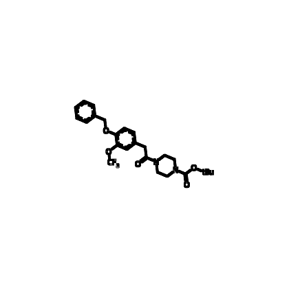 CC(C)(C)OC(=O)N1CCN(C(=O)Cc2ccc(OCc3ccccc3)c(OC(F)(F)F)c2)CC1